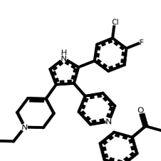 CC(=O)c1ccccc1.CCN1CC=C(c2c[nH]c(-c3ccc(F)c(Cl)c3)c2-c2ccncc2)CC1